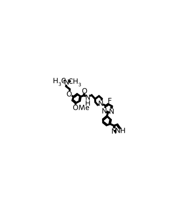 COc1cc(OCCN(C)C)cc(C(=O)NCC2CCN(c3nc(-c4cccc(-c5cc[nH]n5)c4)ncc3F)CC2)c1